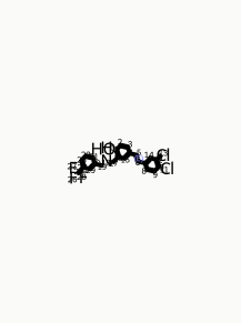 Oc1ccc(/C=C/c2ccc(Cl)c(Cl)c2)cc1CNCc1cccc(C(F)(F)F)c1